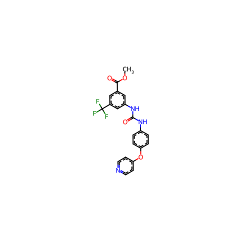 COC(=O)c1cc(NC(=O)Nc2ccc(Oc3ccncc3)cc2)cc(C(F)(F)F)c1